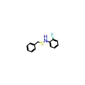 Fc1ccccc1NSCc1ccccc1